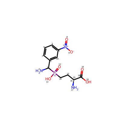 NC(c1cccc([N+](=O)[O-])c1)P(=O)(O)CC[C@H](N)C(=O)O